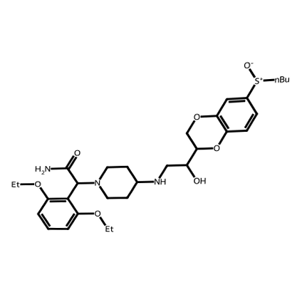 CCCC[S+]([O-])c1ccc2c(c1)OCC(C(O)CNC1CCN(C(C(N)=O)c3c(OCC)cccc3OCC)CC1)O2